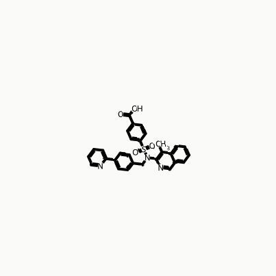 Cc1c(N(Cc2ccc(-c3ccccn3)cc2)S(=O)(=O)c2ccc(C(=O)O)cc2)ncc2ccccc12